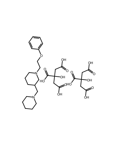 O=C(O)CC(O)(CC(=O)O)C(=O)O.O=C(O)CC(O)(CC(=O)O)C(=O)O.c1ccc(OCCN2CCCC(CN3CCCCC3)C2)cc1